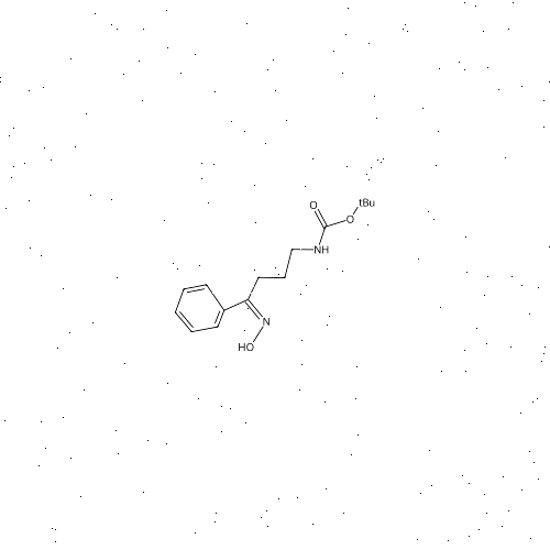 CC(C)(C)OC(=O)NCCC/C(=N/O)c1ccccc1